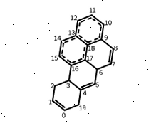 C1=CCC2C(=CC3C=Cc4cccc5ccc2c3c45)C1